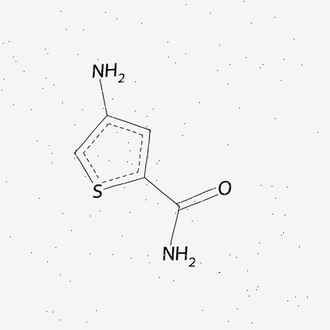 NC(=O)c1cc(N)cs1